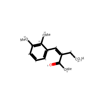 COC(=O)C(=Cc1cccc(OC)c1OC)CC(=O)O